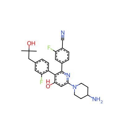 CC(C)(O)Cc1ccc(-c2c(O)cc(N3CCC(N)CC3)nc2-c2ccc(C#N)c(F)c2)c(F)c1